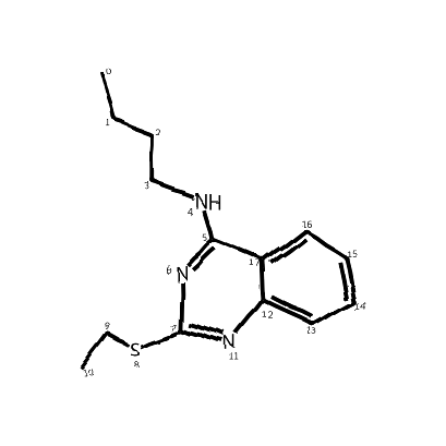 CCCCNc1nc(SCC)nc2ccccc12